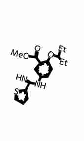 CCC(CC)Oc1ccc(NC(=N)c2cccs2)cc1C(=O)OC